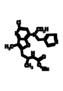 Cc1c(CC(C)NC(=O)OC(C)(C)C)oc2c(N(Cc3ccncc3)C(=O)O)cc(Cl)nc12